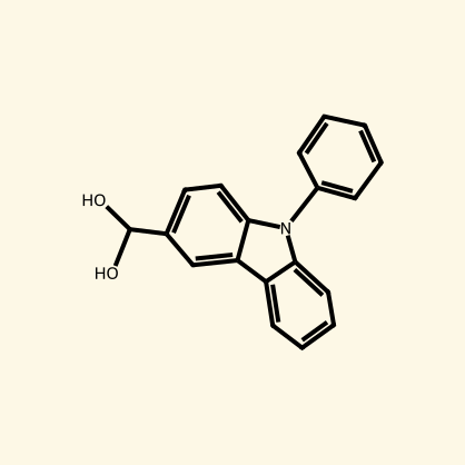 OC(O)c1ccc2c(c1)c1ccccc1n2-c1ccccc1